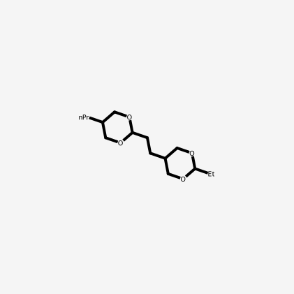 CCCC1COC(CCC2COC(CC)OC2)OC1